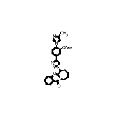 COc1cc(-c2cn(C3CCCCn4c3nc3ccccc3c4=O)nn2)ccc1-n1cnc(C)c1